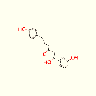 O=C(CCCc1ccc(O)cc1)CC(O)c1cccc(O)c1